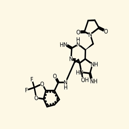 N=C1NC2[C@H](CN3C(=O)CCC3=O)NC(=N)N3CC(NC(=O)c4cccc5c4OC(F)(F)O5)[C@@H](O)C23N1